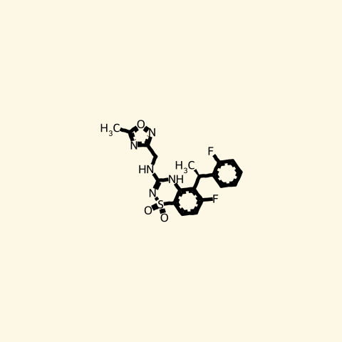 Cc1nc(CNC2=NS(=O)(=O)c3ccc(F)c([C@@H](C)c4ccccc4F)c3N2)no1